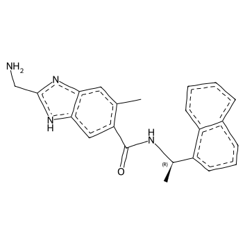 Cc1cc2nc(CN)[nH]c2cc1C(=O)N[C@H](C)c1cccc2ccccc12